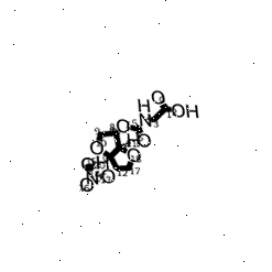 O=C(O)CNC(=O)O[C@@H]1CO[C@@H]2C(O[N+](=O)[O-])CO[C@@H]21